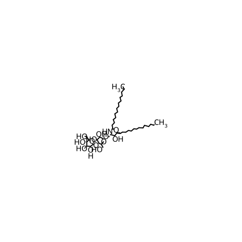 CCCCCCCCCCCCC/C=C/[C@@H](O)[C@H](CO[C@@H]1OC(CO)[C@@H](O[C@@H]2OC(CO)[C@@H](O)[C@H](O)C2O)[C@H](O)C1O)NC(=O)CCCCCCCCCCCCCCC